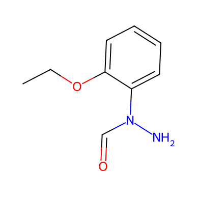 CCOc1ccccc1N(N)C=O